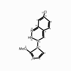 COc1nccn1N1C=c2ccc(Cl)cc2=NN1